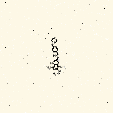 N=C/C(=C\NCc1ccc(CN2CCOCC2)cc1)Cc1cc(N)nc(NN)c1N